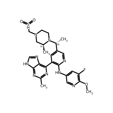 COc1ncc(Nc2ncc([C@@H](C)N3CCN(C[SH](=O)=O)C[C@@H]3C)cc2-c2nc(C)nc3[nH]cnc23)cc1F